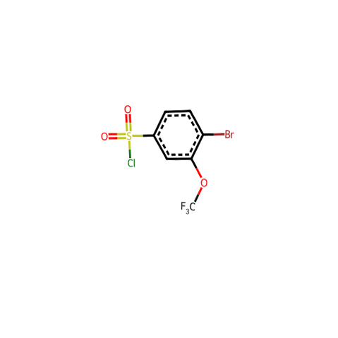 O=S(=O)(Cl)c1ccc(Br)c(OC(F)(F)F)c1